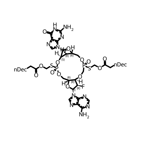 CCCCCCCCCCCC(=O)OCSP1(=O)CO[C@H]2[C@@H](F)[C@H](n3cnc4c(N)ncnc43)O[C@@H]2COP(=O)(SCOC(=O)CCCCCCCCCCC)O[C@@H]2[C@H](F)[C@@H](CO1)O[C@H]2n1cnc2c(=O)[nH]c(N)nc21